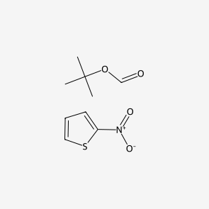 CC(C)(C)OC=O.O=[N+]([O-])c1cccs1